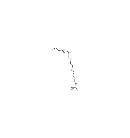 CCC/C=C/C=C\CCCCCCCCCOC(C)=O